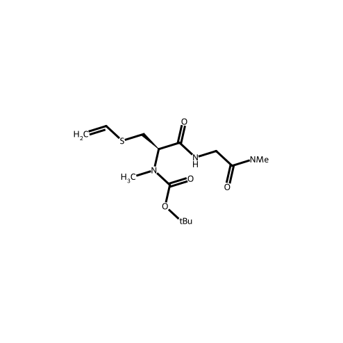 C=CSC[C@@H](C(=O)NCC(=O)NC)N(C)C(=O)OC(C)(C)C